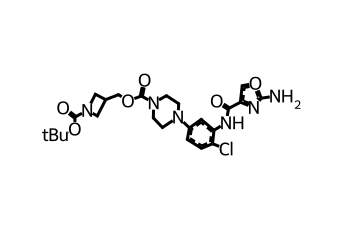 CC(C)(C)OC(=O)N1CC(COC(=O)N2CCN(c3ccc(Cl)c(NC(=O)c4coc(N)n4)c3)CC2)C1